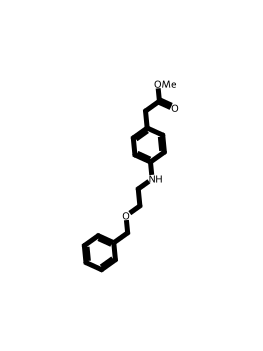 COC(=O)Cc1ccc(NCCOCc2ccccc2)cc1